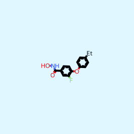 CCc1ccc(Oc2ccc(C(=O)NO)cc2F)cc1